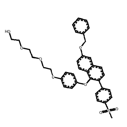 CS(=O)(=O)c1ccc(-c2ccc3cc(OCc4ccccc4)ccc3c2Oc2ccc(OCCOCCOCCO)cc2)cc1